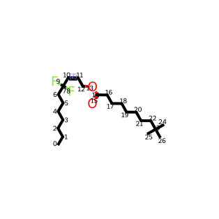 CCCCCCCC(F)(F)/C=C\COC(=O)CCCCCCCC(C)(C)C